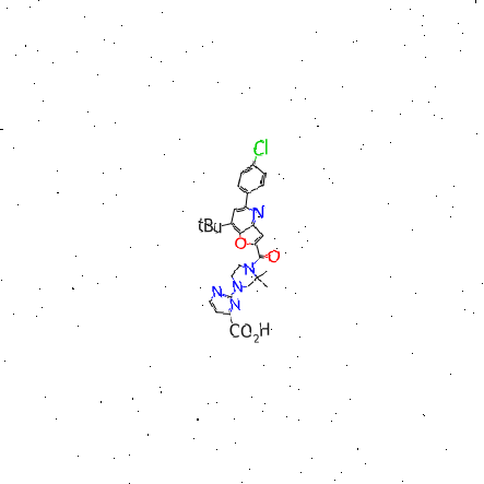 CC(C)(C)c1cc(-c2ccc(Cl)cc2)nc2cc(C(=O)N3CCN(c4nccc(C(=O)O)n4)CC3(C)C)oc12